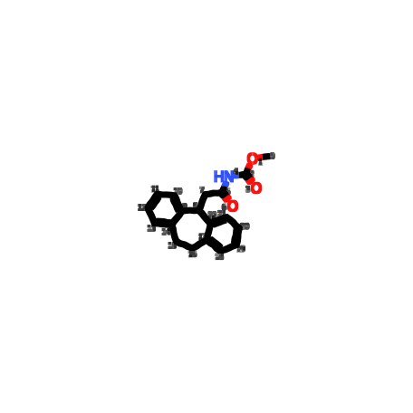 COC(=O)NC(=O)CC1c2ccccc2CCc2ccccc21